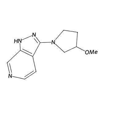 COC1CCN(c2n[nH]c3cnccc23)C1